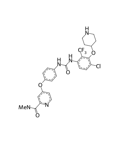 CNC(=O)c1cc(Oc2ccc(NC(=O)Nc3ccc(Cl)c(OC4CCNCC4)c3C(F)(F)F)cc2)ccn1